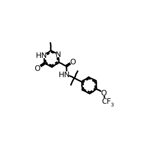 Cc1nc(C(=O)NC(C)(C)c2ccc(OC(F)(F)F)cc2)cc(=O)[nH]1